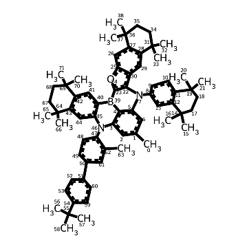 Cc1cc2c3c(c1)N(c1ccc4c(c1)C(C)(C)CCC4(C)C)c1c(oc4cc5c(cc14)C(C)(C)CCC5(C)C)B3c1cc3c(cc1N2c1ccc(-c2ccc(C(C)(C)C)cc2)cc1C)C(C)(C)CCC3(C)C